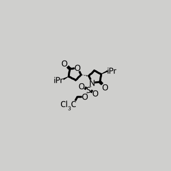 CC(C)[C@@H]1C[C@@H](C2C[C@@H](C(C)C)C(=O)N2S(=O)(=O)OCC(Cl)(Cl)Cl)OC1=O